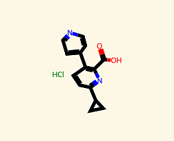 Cl.O=C(O)c1nc(C2CC2)ccc1-c1ccncc1